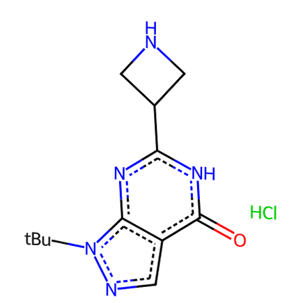 CC(C)(C)n1ncc2c(=O)[nH]c(C3CNC3)nc21.Cl